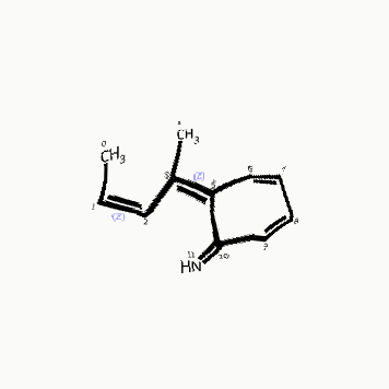 C/C=C\C(C)=C1\C=CC=CC1=N